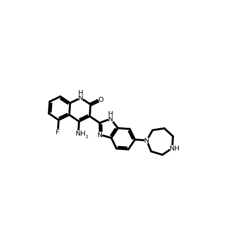 Nc1c(-c2nc3ccc(N4CCCNCC4)cc3[nH]2)c(=O)[nH]c2cccc(F)c12